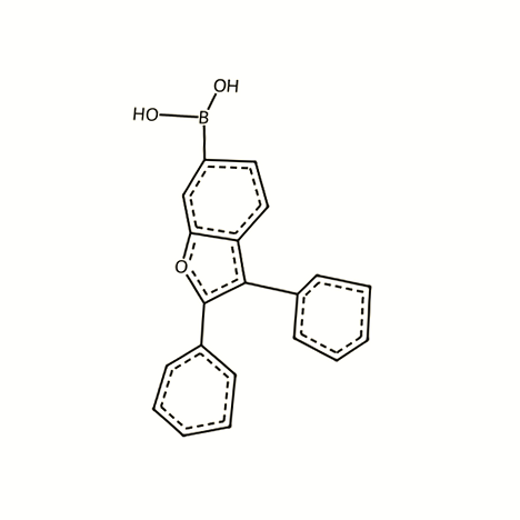 OB(O)c1ccc2c(-c3ccccc3)c(-c3ccccc3)oc2c1